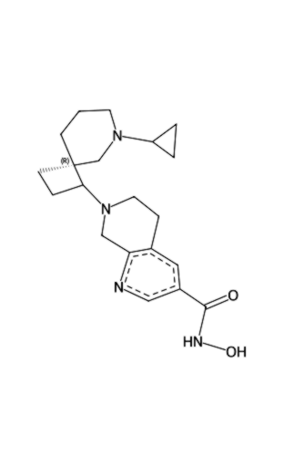 O=C(NO)c1cnc2c(c1)CCN(C1CC[C@@]13CCCN(C1CC1)C3)C2